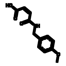 COc1ccc(CNC(=O)/C=C\C(=O)O)cc1